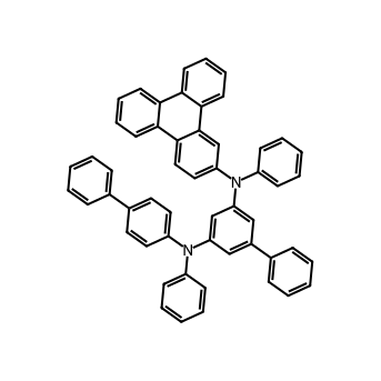 c1ccc(-c2ccc(N(c3ccccc3)c3cc(-c4ccccc4)cc(N(c4ccccc4)c4ccc5c6ccccc6c6ccccc6c5c4)c3)cc2)cc1